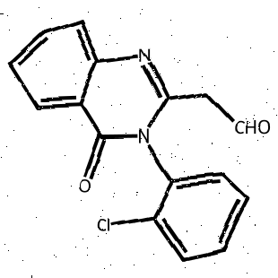 O=CCc1nc2ccccc2c(=O)n1-c1ccccc1Cl